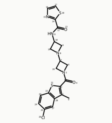 Cc1c(C(=O)N2CC(N3CC(NC(=O)c4nccs4)C3)C2)sc2ccc(Cl)cc12